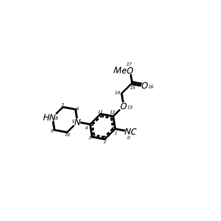 [C-]#[N+]c1ccc(N2CCNCC2)cc1OCC(=O)OC